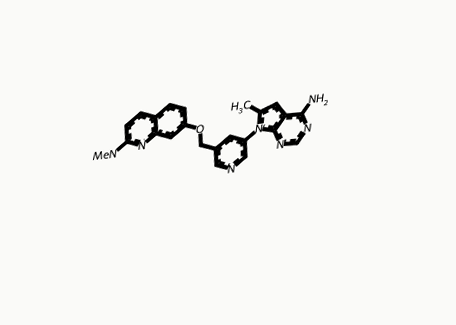 CNc1ccc2ccc(OCc3cncc(-n4c(C)cc5c(N)ncnc54)c3)cc2n1